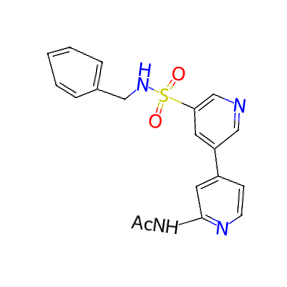 CC(=O)Nc1cc(-c2cncc(S(=O)(=O)NCc3ccccc3)c2)ccn1